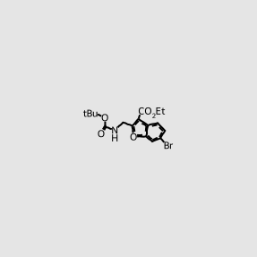 CCOC(=O)c1c(CNC(=O)OC(C)(C)C)oc2cc(Br)ccc12